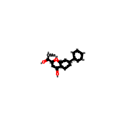 COC(=O)c1cc(=O)c2ccc(-c3ccccc3)cc2o1